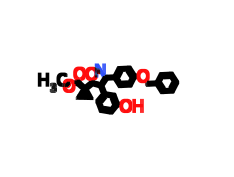 COC(=O)C1(C2ON=C(c3ccc(OCc4ccccc4)cc3)C2c2cccc(O)c2)CC1